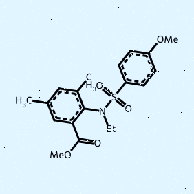 CCN(c1c(C)cc(C)cc1C(=O)OC)S(=O)(=O)c1ccc(OC)cc1